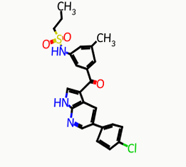 CCCS(=O)(=O)Nc1cc(C)cc(C(=O)c2c[nH]c3ncc(-c4ccc(Cl)cc4)cc23)c1